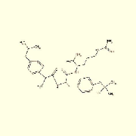 CC(C)Cc1ccc(C(C)C(=O)NC(Cc2ccc(OC(C)(C)C)cc2)C(=O)NC(CCCNC(=N)N)C(N)=O)cc1